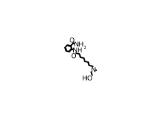 CN(CCO)CCCCCCCC(=O)Nc1ccccc1C(N)=O